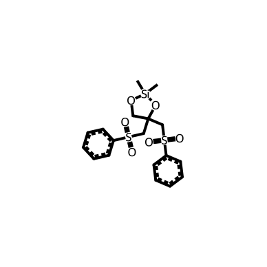 C[Si]1(C)OCC(CS(=O)(=O)c2ccccc2)(CS(=O)(=O)c2ccccc2)O1